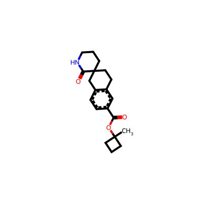 CC1(OC(=O)c2ccc3c(c2)CCC2(CCCNC2=O)C3)CCC1